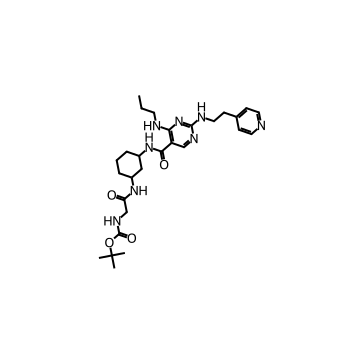 CCCNc1nc(NCCc2ccncc2)ncc1C(=O)NC1CCCC(NC(=O)CNC(=O)OC(C)(C)C)C1